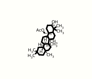 CC(=O)OC[C@]12CC[C@@H](O)C(C)(C)C1CC[C@]1(C)[C@@H]2CC[C@@H]2[C@H]3CC(C)(C)CC[C@]3(C)CC[C@]21C